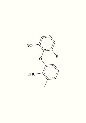 Cc1cccc(Oc2c(F)cccc2C#N)c1C=O